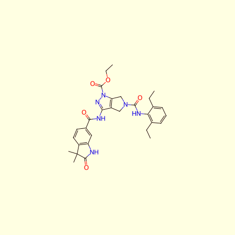 CCOC(=O)n1nc(NC(=O)c2ccc3c(c2)NC(=O)C3(C)C)c2c1CN(C(=O)Nc1c(CC)cccc1CC)C2